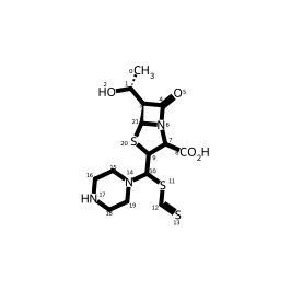 C[C@@H](O)[C@H]1C(=O)N2C(C(=O)O)C(C(SC=S)N3CCNCC3)SC12